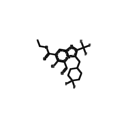 CCOC(=O)c1cc2nc(C(F)(F)F)c(CC3CCC(F)(F)CC3)n2c(C=O)c1Cl